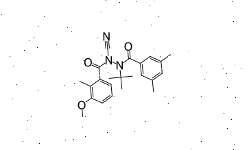 COc1cccc(C(=O)N(C#N)N(C(=O)c2cc(C)cc(C)c2)C(C)(C)C)c1C